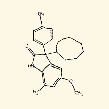 COc1cc(C)c2c(c1)C(c1ccc(O)cc1)(C1CCCCCC1)C(=O)N2